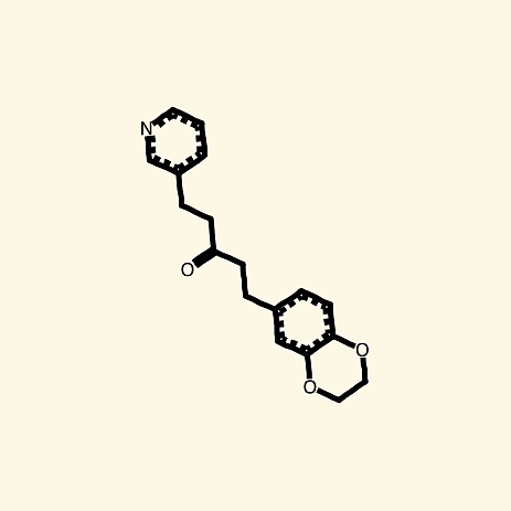 O=C(CCc1cccnc1)CCc1ccc2c(c1)OCCO2